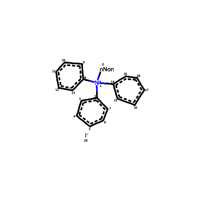 CCCCCCCCC[N+](c1ccccc1)(c1ccccc1)c1ccccc1.[I-]